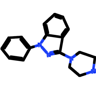 c1ccc(-n2nc(N3CCNCC3)c3ccccc32)cc1